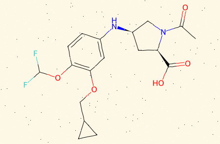 CC(=O)N1C[C@H](Nc2ccc(OC(F)F)c(OCC3CC3)c2)C[C@@H]1C(=O)O